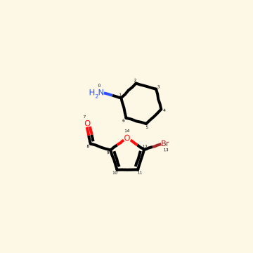 NC1CCCCC1.O=Cc1ccc(Br)o1